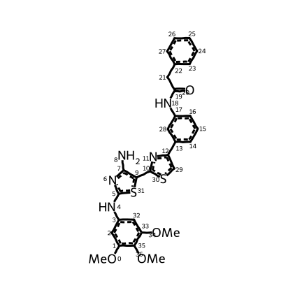 COc1cc(Nc2nc(N)c(-c3nc(-c4cccc(NC(=O)Cc5ccccc5)c4)cs3)s2)cc(OC)c1OC